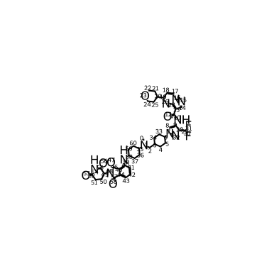 CN(CC1CCC(n2cc(NC(=O)c3cnn4ccc(C5CCOCC5)nc34)c(C(F)F)n2)CC1)[C@H]1CC[C@H](Nc2cccc3c2C(=O)N(C2CCC(=O)NC2=O)C3=O)CC1